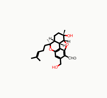 CC(C)=CCC[C@]1(C)Oc2cc(CO)c(C=O)c3c2[C@H]2[C@@H](O3)[C@@](C)(O)CC[C@H]21